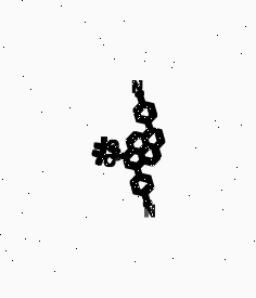 CC1(C)OB(c2cc(-c3ccc(C#N)cc3)c3ccc4ccc(-c5ccc(C#N)cc5)c5ccc2c3c45)OC1(C)C